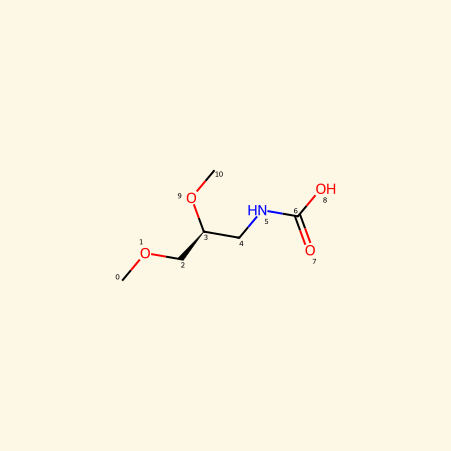 COC[C@H](CNC(=O)O)OC